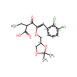 CCC(C(=O)O)C(=O)/C(=C/c1cccc(Cl)c1Cl)OCC1COC(C)(C)O1